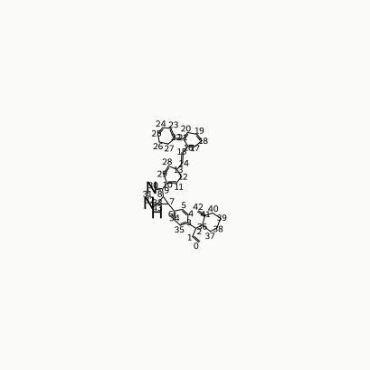 C=CC(c1ccc(C2C3C(C4=CCC(/C=C/c5ccccc5C5=CC=CCC5)C=C4)=NC=N[C@@H]32)cc1)C1CCCCC1=C